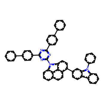 c1ccc(-c2ccc(-c3nc(-c4ccc(-c5ccccc5)cc4)nc(-n4c5cccc6ccc7c(-c8ccc9c%10ccccc%10n(-c%10ccccc%10)c9c8)ccc4c7c65)n3)cc2)cc1